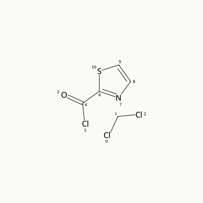 ClCCl.O=C(Cl)c1nccs1